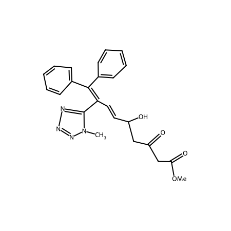 COC(=O)CC(=O)CC(O)C=CC(=C(c1ccccc1)c1ccccc1)c1nnnn1C